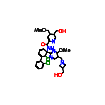 COCc1cc(C(=O)NC2(c3ncc(CN4CC(CO)C4)c(OC)n3)C=CC=C(c3ccccc3Cl)C2Cl)ncc1CO